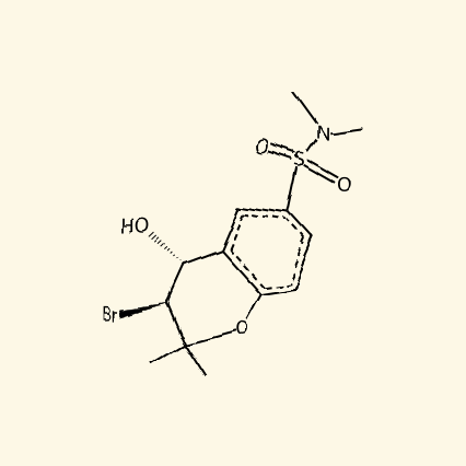 CN(C)S(=O)(=O)c1ccc2c(c1)[C@@H](O)[C@H](Br)C(C)(C)O2